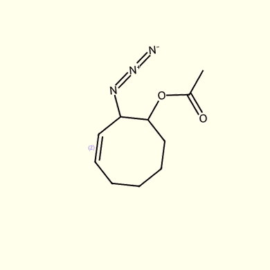 CC(=O)OC1CCCC/C=C\C1N=[N+]=[N-]